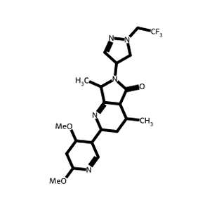 COC1CC(OC)C(C2CC(C)C3C(=O)N(C4C=NN(CC(F)(F)F)C4)C(C)C3=N2)C=N1